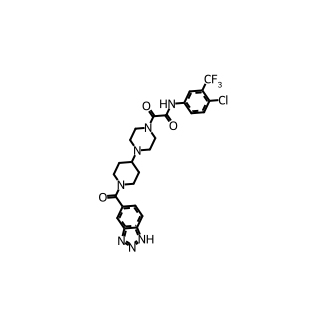 O=C(Nc1ccc(Cl)c(C(F)(F)F)c1)C(=O)N1CCN(C2CCN(C(=O)c3ccc4[nH]nnc4c3)CC2)CC1